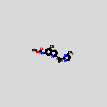 Cc1ccnc([C@H]2C[C@@H]2c2ccc3c(C#N)cc(NC(=O)OC(C)(C)C)cc3n2)n1